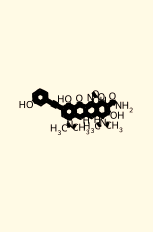 CN(C)c1cc(C#Cc2cccc(O)c2)c(O)c2c1C[C@H]1C[C@H]3[C@H](N(C)C)C(O)=C(C(N)=O)C(=O)[C@@]3(O)C(N=O)=C1C2=O